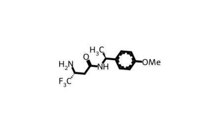 COc1ccc([C@H](C)NC(=O)C[C@@H](N)C(F)(F)F)cc1